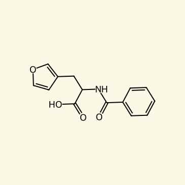 O=C(NC(Cc1ccoc1)C(=O)O)c1ccccc1